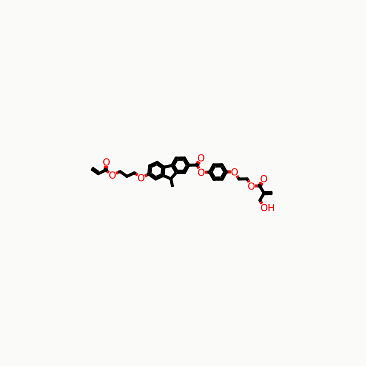 C=CC(=O)OCCCOc1ccc2c(c1)C(C)c1cc(C(=O)Oc3ccc(OCCOC(=O)C(=C)CO)cc3)ccc1-2